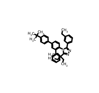 CCc1cccc(-c2nnc(C(CC)(CC)CC)n2-c2ccc(-c3ccc(C(C)(C)C)cc3)cc2-c2ccccc2)c1